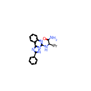 CC(C)C(Nc1nc2ccccc2c2nc(-c3ccccc3)nn12)C(N)=O